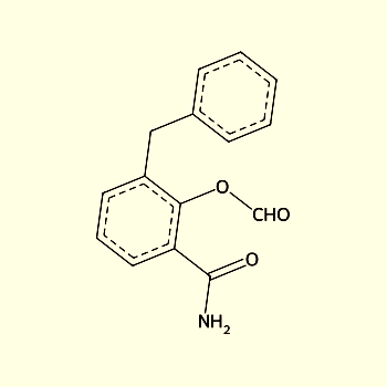 NC(=O)c1cccc(Cc2ccccc2)c1OC=O